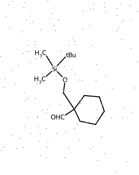 CC(C)(C)[Si](C)(C)OCC1(C=O)CCCCC1